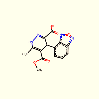 COC(=O)C1=C(C)NN=C(C(=O)O)C1c1cccc2nonc12